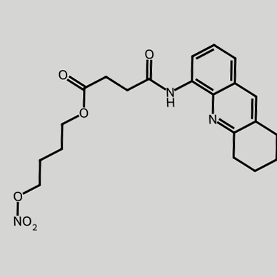 O=C(CCC(=O)OCCCCO[N+](=O)[O-])Nc1cccc2cc3c(nc12)CCCC3